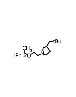 CC(C)[C@H](C)OCCN1CCC(CC(C)(C)C)C1